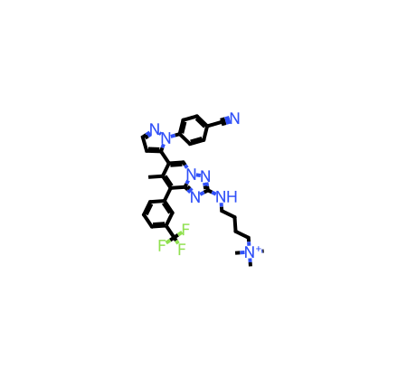 Cc1c(-c2ccnn2-c2ccc(C#N)cc2)cn2nc(NCCCC[N+](C)(C)C)nc2c1-c1cccc(C(F)(F)F)c1